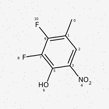 Cc1cc([N+](=O)[O-])c(O)c(F)c1F